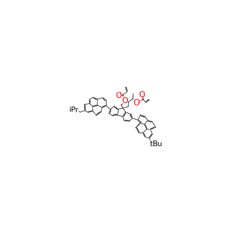 C=CC(=O)OCC1(CCC(C)OC(=O)C=C)c2cc(-c3ccc4ccc5cc(CC(C)C)cc6ccc3c4c56)ccc2-c2ccc(-c3ccc4ccc5cc(C(C)(C)C)cc6ccc3c4c56)cc21